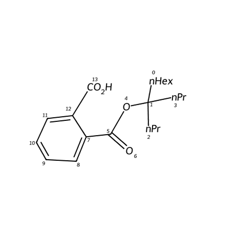 CCCCCCC(CCC)(CCC)OC(=O)c1ccccc1C(=O)O